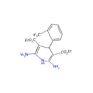 CCOC(=O)C1=C(N)NC(N)=C(C(=O)OCC)C1c1ccccc1C(F)(F)F